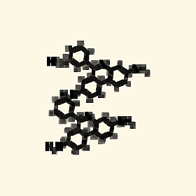 I.I.Nc1ccc2c(c1)nc(-c1ccccc1)c1cc(N)ccc12.Nc1ccc2c(c1)nc(-c1ccccc1)c1cc(N)ccc12